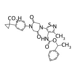 Cc1nsc(N2CC(=O)N(c3ccc(C4(C(=O)O)CC4)cc3)CC2=O)c1NC(=O)OC(C)c1ccccc1